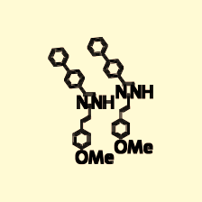 COc1ccc(/C=C/c2nc(-c3ccc(-c4ccccc4)cc3)c[nH]2)cc1.COc1ccc(/C=C/c2nc(-c3ccc(-c4ccccc4)cc3)c[nH]2)cc1